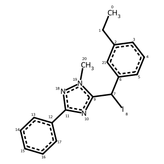 CCc1cccc(C(I)c2nc(-c3ccccc3)nn2C)c1